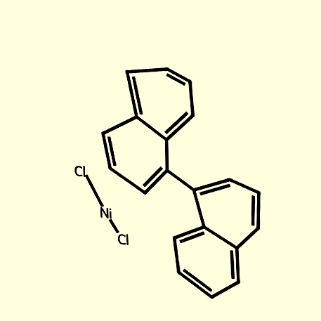 [Cl][Ni][Cl].c1ccc2c(-c3cccc4ccccc34)cccc2c1